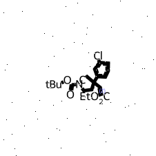 CCOC(=O)/C=C\C1(c2cccc(Cl)c2)CCN(C(=O)OC(C)(C)C)CC1